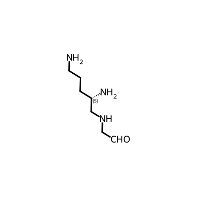 NCCC[C@H](N)CNCC=O